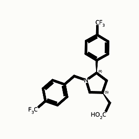 O=C(O)C[C@@H]1C[C@H](c2ccc(C(F)(F)F)cc2)N(Cc2ccc(C(F)(F)F)cc2)C1